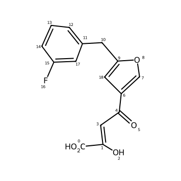 O=C(O)C(O)=CC(=O)c1coc(Cc2cccc(F)c2)c1